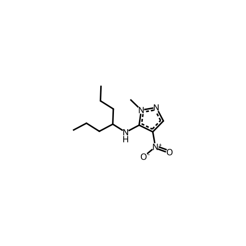 CCCC(CCC)Nc1c([N+](=O)[O-])cnn1C